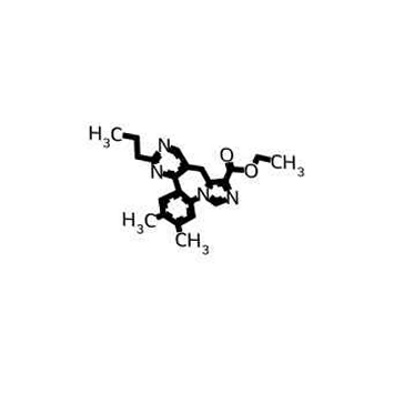 CCCc1ncc2c(n1)-c1cc(C)c(C)cc1-n1cnc(C(=O)OCC)c1C2